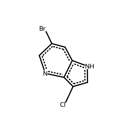 Clc1c[nH]c2cc(Br)cnc12